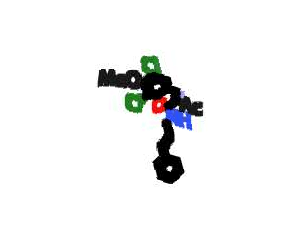 COc1c(Cl)cc(/C=C(/C(C)=O)C(=O)NCCCc2ccccc2)cc1Cl